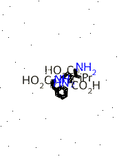 CC(C)C[C@H](N)C(=O)O.N[C@@H](Cc1ccccc1)C(=O)O.O=C(O)[C@@H]1CCCN1